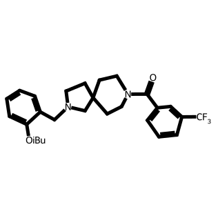 CC(C)COc1ccccc1CN1CCC2(CCN(C(=O)c3cccc(C(F)(F)F)c3)CC2)C1